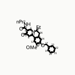 CCCNC(=O)c1cn2c(cc1=O)-c1cc(OC)c(OCc3ccccc3)cc1CC2CC